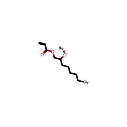 C=CC(=O)OCC(CCCCCC(C)C)OC(C)C